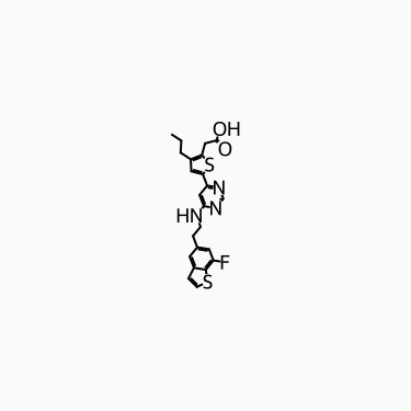 CCCc1cc(-c2cc(NCCc3cc(F)c4sccc4c3)ncn2)sc1CC(=O)O